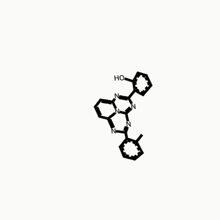 Cc1ccccc1C1=NC2=NC(c3ccccc3O)=NC3=CC=CC(=N1)N32